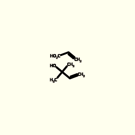 C=CC(=O)O.C=CC(C)(C)O